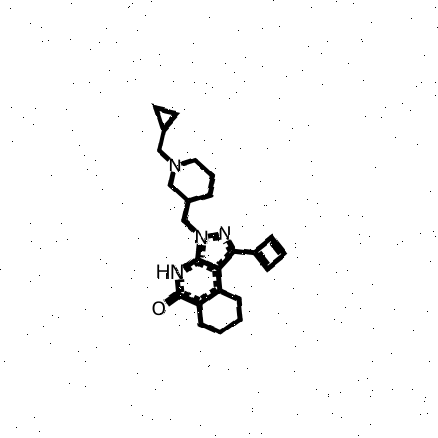 O=c1[nH]c2c(c(C3=CC=C3)nn2CC2CCCN(CC3CC3)C2)c2c1CCCC2